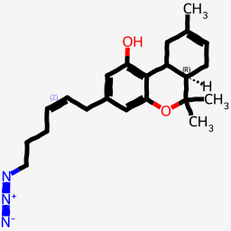 CC1=CC[C@@H]2C(C1)c1c(O)cc(C/C=C\CCCN=[N+]=[N-])cc1OC2(C)C